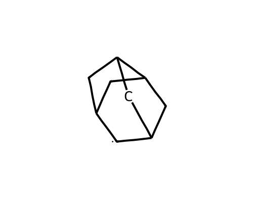 [CH]1C2CC3CC1CC3C2